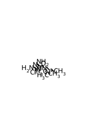 CCC[C@H](CNC(=O)c1nc(Cl)c(N)nc1N)[N+](C)(C)C